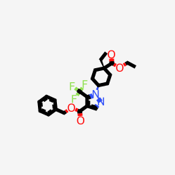 CCOC(=O)[C@]1(CC)CC[C@@H](n2ncc(C(=O)OCc3ccccc3)c2C(F)(F)F)CC1